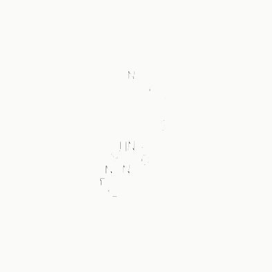 Cc1sc(-c2cccc(C#N)c2)cc1C(=O)Nc1nc(CC(C)(F)F)ns1